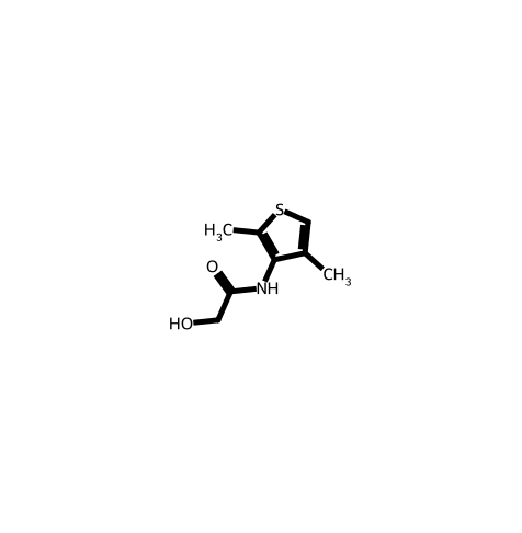 Cc1csc(C)c1NC(=O)CO